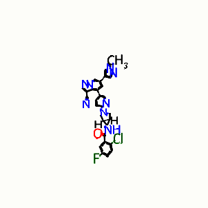 Cn1cc(-c2cc(-c3ccc(N4C[C@@H]5C(NC(=O)c6cc(F)ccc6Cl)[C@@H]5C4)nc3)c3c(C#N)cnn3c2)cn1